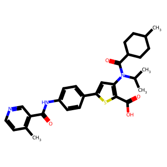 Cc1ccncc1C(=O)Nc1ccc(-c2cc(N(C(=O)C3CCC(C)CC3)C(C)C)c(C(=O)O)s2)cc1